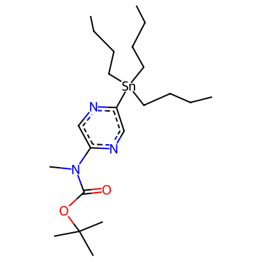 CCC[CH2][Sn]([CH2]CCC)([CH2]CCC)[c]1cnc(N(C)C(=O)OC(C)(C)C)cn1